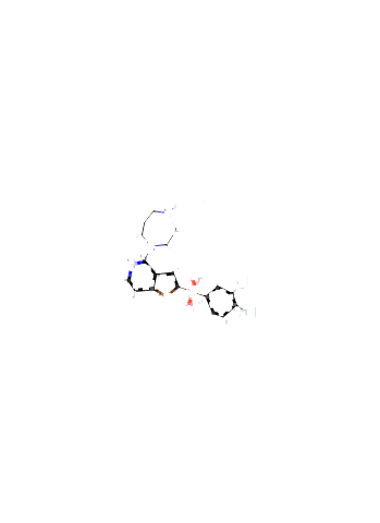 O=C(O)N1CCCN(c2nccc3sc(S(=O)(=O)c4ccc(Cl)c(Cl)c4)cc23)CC1